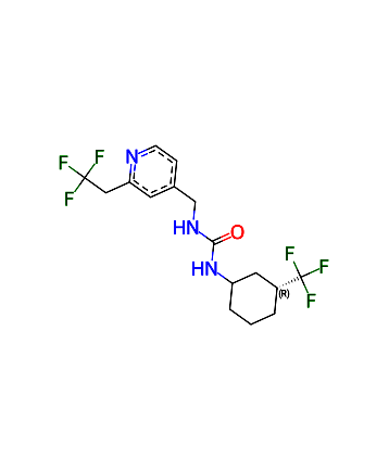 O=C(NCc1ccnc(CC(F)(F)F)c1)NC1CCC[C@@H](C(F)(F)F)C1